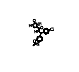 Cc1nc2ccc([C@@H](NC(=O)C3CNC(=O)N3)c3ccc(Cl)cc3)cc2o1